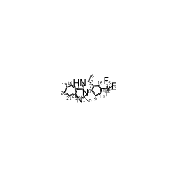 Cc1nc(NC(C)c2cccc(C(F)(F)F)c2)c2ccccc2n1